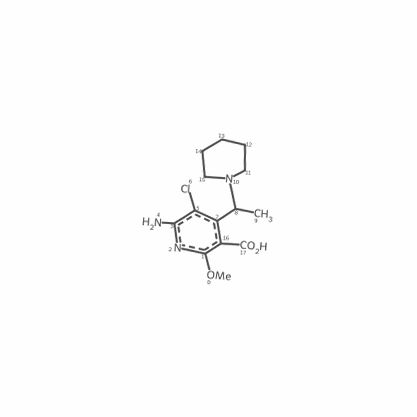 COc1nc(N)c(Cl)c(C(C)N2CCCCC2)c1C(=O)O